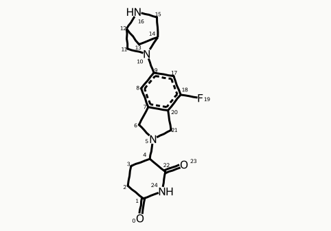 O=C1CCC(N2Cc3cc(N4CC5CC4CN5)cc(F)c3C2)C(=O)N1